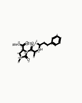 CCOC(=O)C(CCc1ccccc1)NC(C)C(=O)N1C(=O)N(C)CC1C(=O)OC